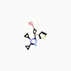 O[C@H]1C[C@@](c2ccsc2)(c2nnc(C3CC3)n2C2CC2)C1